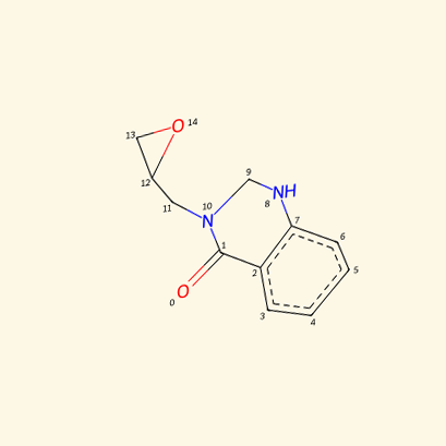 O=C1c2ccccc2NCN1CC1CO1